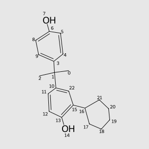 CC(C)(c1ccc(O)cc1)c1ccc(O)c(C2CCCCC2)c1